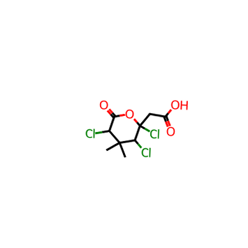 CC1(C)C(Cl)C(=O)OC(Cl)(CC(=O)O)C1Cl